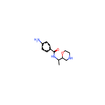 CC(NC(=O)c1ccc(N)cc1)C1CNCCO1